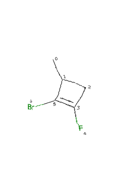 CC1CC(F)=C1Br